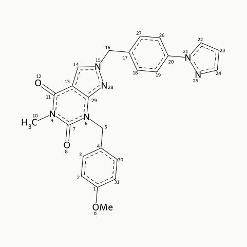 COc1ccc(Cn2c(=O)n(C)c(=O)c3cn(Cc4ccc(-n5cccn5)cc4)nc32)cc1